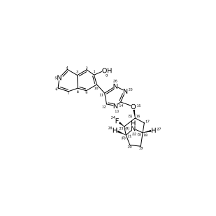 Oc1cc2cnccc2cc1-c1cnc(O[C@H]2C[C@@H]3CC[C@@H](N3)[C@H]2F)nn1